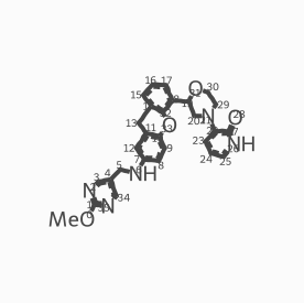 COc1ncc(CNc2ccc3c(c2)Cc2cccc(C4CN(c5ccc[nH]c5=O)CCO4)c2O3)cn1